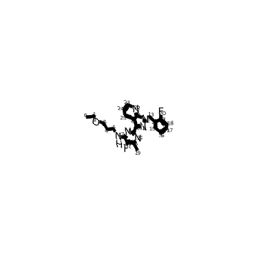 CCOCCCNc1nc(-c2nn(Cc3ccccc3F)c3ncccc23)nc(C)c1F